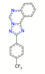 FC(F)(F)c1ccc(-c2nc3c4ccccc4ncn3n2)cc1